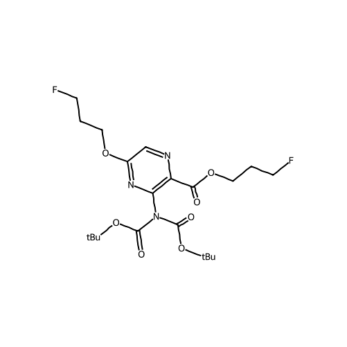 CC(C)(C)OC(=O)N(C(=O)OC(C)(C)C)c1nc(OCCCF)cnc1C(=O)OCCCF